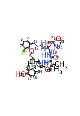 CCCOc1c(F)cccc1CCCNC(=O)[C@H](CN1CCOCC1)NC(=O)[C@H](NC(=O)[C@H](C)Cc1ccc(O)c(F)c1)C(C)C